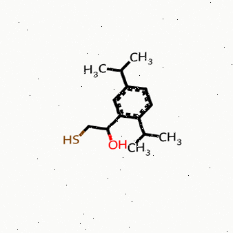 CC(C)c1ccc(C(C)C)c(C(O)CS)c1